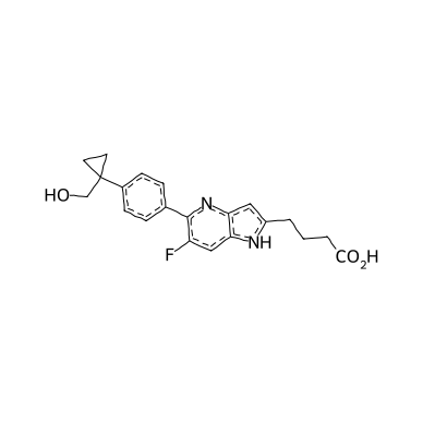 O=C(O)CCCc1cc2nc(-c3ccc(C4(CO)CC4)cc3)c(F)cc2[nH]1